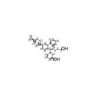 OCCC/C(=C(/c1ccc(N2CCN(C3CC3)CC2)cc1)[C@H]1C=CC=C(O)C1)c1ccccc1